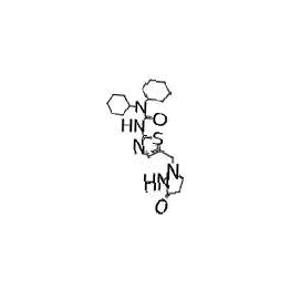 O=C1CCN(Cc2cnc(NC(=O)N(C3CCCCC3)C3CCCCC3)s2)N1